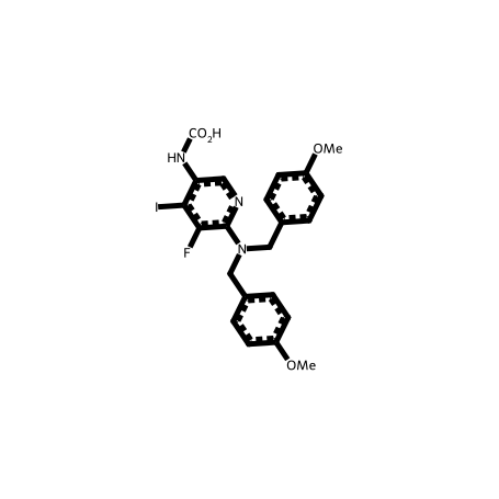 COc1ccc(CN(Cc2ccc(OC)cc2)c2ncc(NC(=O)O)c(I)c2F)cc1